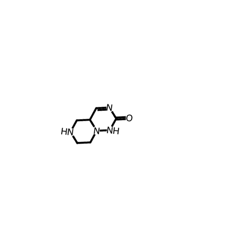 O=C1N=CC2CNCCN2N1